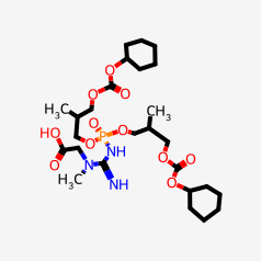 CC(COC(=O)OC1CCCCC1)COP(=O)(NC(=N)N(C)CC(=O)O)OCC(C)COC(=O)OC1CCCCC1